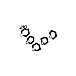 C1CCOCC1.C1CCOCC1.C1CCOCC1.C1CCOCC1.C1CCOCC1.C[N+](=O)[O-]